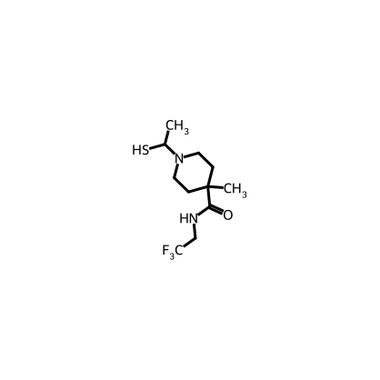 CC(S)N1CCC(C)(C(=O)NCC(F)(F)F)CC1